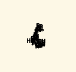 COc1ccc2ncc(CF)c([C@H](O)CCC3(CC(=O)O)CCN(CCSc4cc(F)c(F)c(F)c4)CC3)c2c1